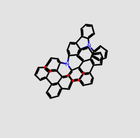 c1ccc(-c2cccc3cccc(-c4ccccc4N(c4ccc5c6ccccc6n(-c6ccccc6)c5c4)c4ccccc4-c4cccc5cccc(-c6ccccc6)c45)c23)cc1